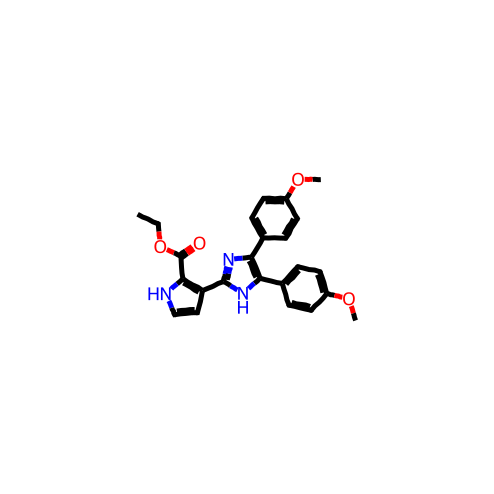 CCOC(=O)c1[nH]ccc1-c1nc(-c2ccc(OC)cc2)c(-c2ccc(OC)cc2)[nH]1